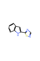 [c]1cccc2cc(-c3ncns3)[nH]c12